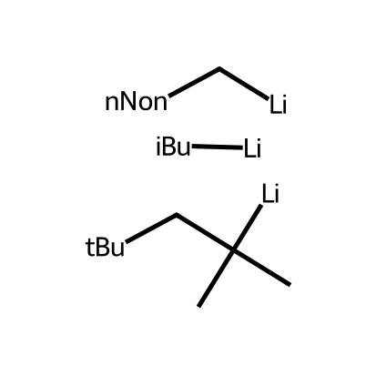 [Li][CH2]CCCCCCCCC.[Li][CH](C)CC.[Li][C](C)(C)CC(C)(C)C